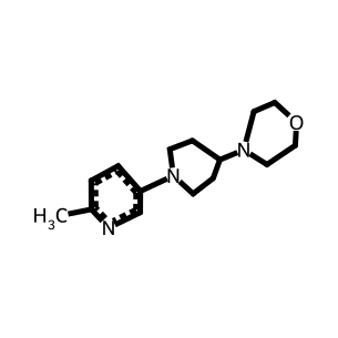 Cc1ccc(N2CCC(N3CCOCC3)CC2)cn1